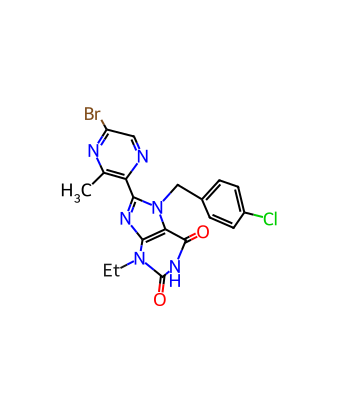 CCn1c(=O)[nH]c(=O)c2c1nc(-c1ncc(Br)nc1C)n2Cc1ccc(Cl)cc1